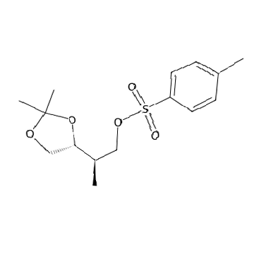 Cc1ccc(S(=O)(=O)OC[C@@H](C)[C@@H]2COC(C)(C)O2)cc1